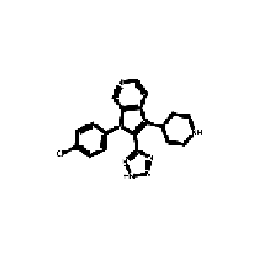 Clc1ccc(-n2c(-c3nn[nH]n3)c(C3CCNCC3)c3ccncc32)cc1